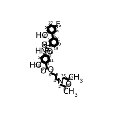 CC1CN(CCCOC(=O)c2ccc(NS(=O)(=O)c3cccc(-c4cc(F)ccc4O)c3)cc2O)CC(C)O1